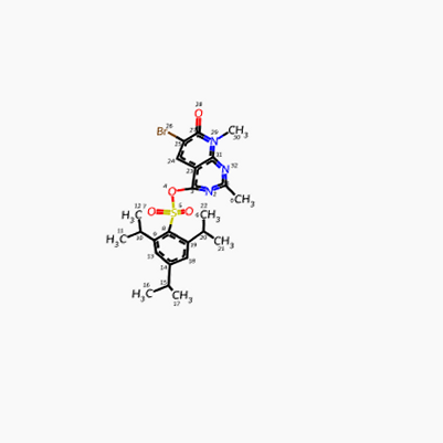 Cc1nc(OS(=O)(=O)c2c(C(C)C)cc(C(C)C)cc2C(C)C)c2cc(Br)c(=O)n(C)c2n1